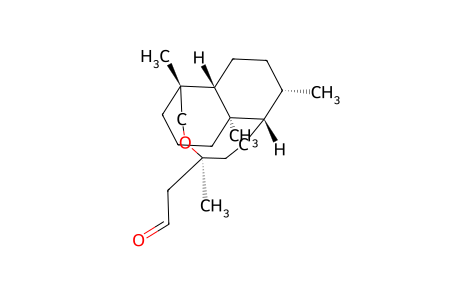 C[C@H]1CC[C@H]2[C@@]3(C)CCC[C@]2(C)[C@H]1CC[C@@](C)(CC=O)OC3